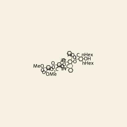 CCCCCCc1cc(C(=O)Oc2c(Cc3ccccc3)cc(C(=O)Oc3c(C(C)C)cc(C(=O)Oc4ccc(C(=O)OC)c(C(=O)OC)c4)c(C(=O)O)c3C(C)C)c(C(=O)O)c2Cc2ccccc2)c(C(=O)O)c(CCCCCC)c1O